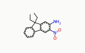 CCC1(CC)c2ccccc2-c2cc([N+](=O)[O-])c(N)cc21